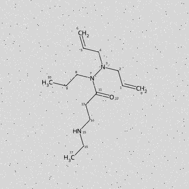 C=CCN(CC=C)N(CCC)C(=O)CCNCC